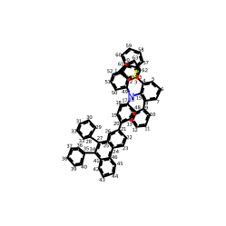 c1ccc(-c2cccc(-c3ccccc3)c2N(c2ccc(-c3ccc4c(c3)c(-c3ccccc3)c(-c3ccccc3)c3ccccc34)cc2)c2cccc3c2sc2ccccc23)cc1